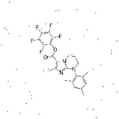 Cc1cc(C)c(N2CCCn3c2nc(C)c3C(=O)Oc2c(F)c(F)c(F)c(F)c2F)c(C)c1